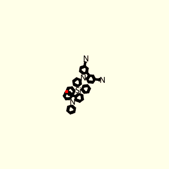 N#Cc1ccc2c(c1)c1cc(C#N)ccc1n2-c1cccc([Si](c2ccccc2)(c2ccccc2)c2cccc3c2c2ccccc2n3-c2ccccc2)c1